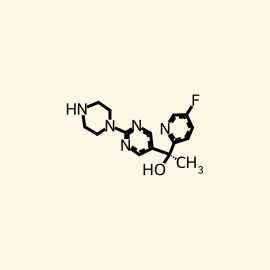 C[C@](O)(c1cnc(N2CCNCC2)nc1)c1ccc(F)cn1